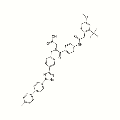 COc1ccc(CC(=O)Nc2ccc(C(=O)N(CC(=O)O)Cc3ccc(-c4n[nH]c(-c5ccc(-c6ccc(C)cc6)cc5)n4)cc3)cc2)c(C(F)(F)F)c1